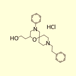 Cl.OCCC1CN(c2ccccc2)CC2(CCN(CCc3ccccc3)CC2)O1